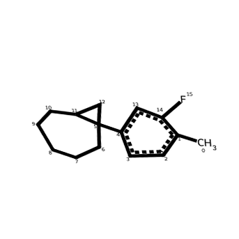 Cc1ccc(C23CCCCCC2C3)cc1F